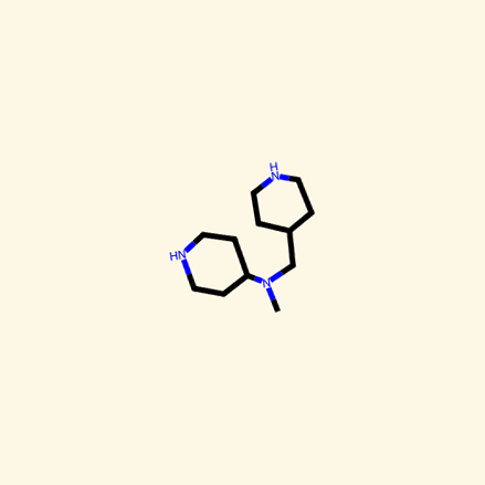 CN(CC1CCNCC1)C1CCNCC1